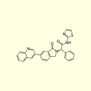 O=C(Nc1nccs1)[C@@H](c1ccccc1)N1Cc2ccc(-c3cnc4ccccc4c3)cc2C1=O